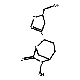 O=C1N(O)C2CC[C@@H](C3=NO[C@@H](CO)C3)N1C2